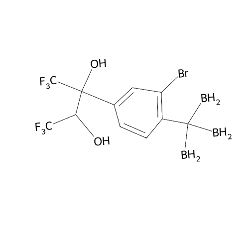 BC(B)(B)c1ccc(C(O)(C(O)C(F)(F)F)C(F)(F)F)cc1Br